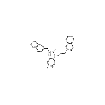 Cc1ccc(C(CC=Cc2ccc3ccccc3c2)C(C)NCc2ccc3ccccc3c2)cn1